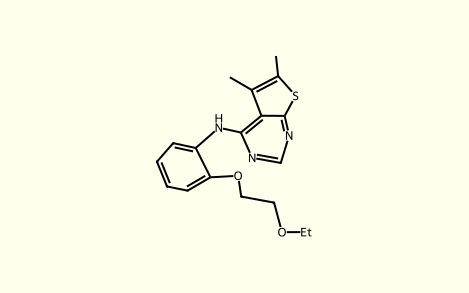 CCOCCOc1ccccc1Nc1ncnc2sc(C)c(C)c12